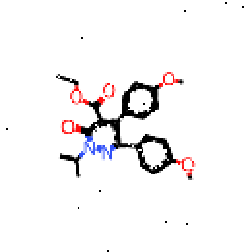 CCOC(=O)c1c(-c2ccc(OC)cc2)c(-c2ccc(OC)cc2)nn(C(C)C)c1=O